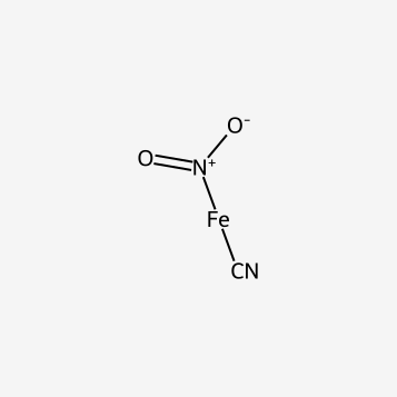 N#[C][Fe][N+](=O)[O-]